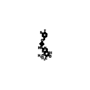 C[C@H]1C(=O)Nc2cnc(N[C@H]3C[C@H](OCc4ccc(F)c(F)c4)C3)nc2N1C